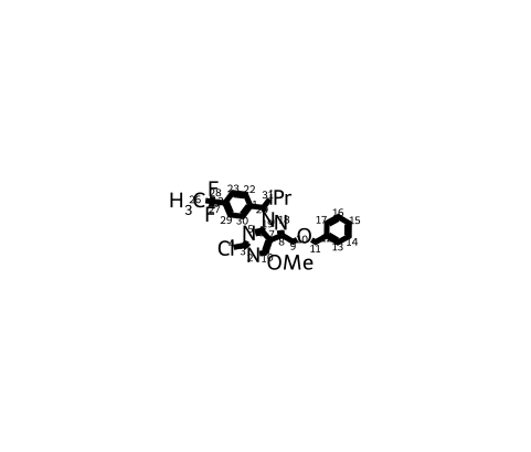 COc1nc(Cl)nc2c1c(COCc1ccccc1)nn2C(c1ccc(C(C)(F)F)cc1)C(C)C